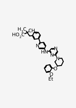 CCOc1ccccc1OC1CCCN(c2cncc(Nc3ccc(-c4cccc(CC(C)(C)C(=O)O)c4)nc3)n2)C1